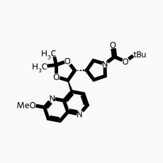 COc1ccc2nccc([C@H]3OC(C)(C)O[C@@H]3C3CCN(C(=O)OC(C)(C)C)C3)c2n1